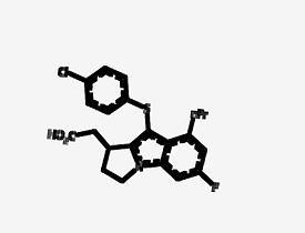 CCCc1cc(F)cc2c1c(Sc1ccc(Cl)cc1)c1n2CCC1CC(=O)O